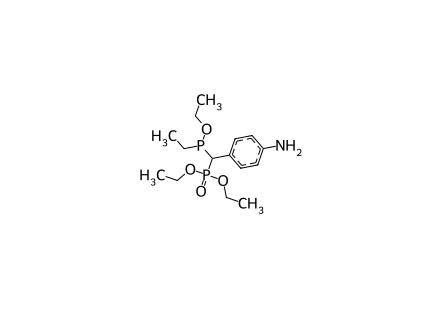 CCOP(CC)C(c1ccc(N)cc1)P(=O)(OCC)OCC